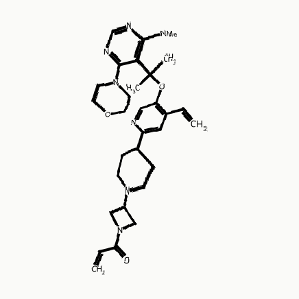 C=CC(=O)N1CC(N2CCC(c3cc(C=C)c(OC(C)(C)c4c(NC)ncnc4N4CCOCC4)cn3)CC2)C1